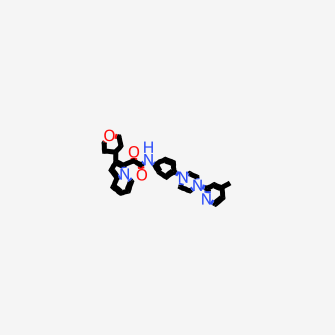 Cc1ccnc(N2CCN(c3ccc(NC(=O)C(=O)c4c(C5CCOCC5)cc5ccccn45)cc3)CC2)c1